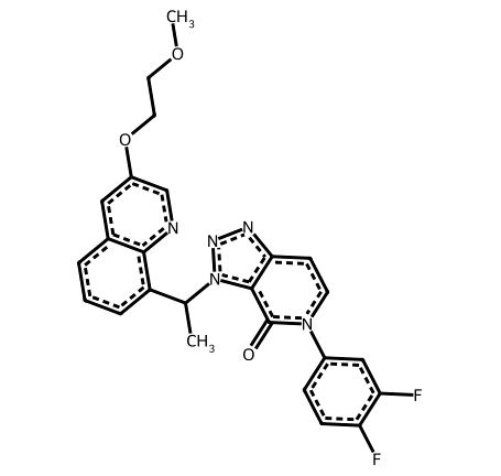 COCCOc1cnc2c(C(C)n3nnc4ccn(-c5ccc(F)c(F)c5)c(=O)c43)cccc2c1